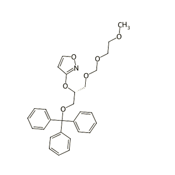 COCCOCOC[C@H](COC(c1ccccc1)(c1ccccc1)c1ccccc1)Oc1ccon1